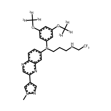 [2H]C([2H])([2H])Oc1cc(OC([2H])([2H])[2H])cc(N(CCCNCC(F)(F)F)c2ccc3ncc(-c4cnn(C)c4)nc3c2)c1